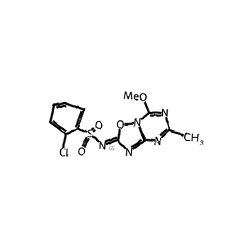 COc1nc(C)nc2n/c(=N/S(=O)(=O)c3ccccc3Cl)on12